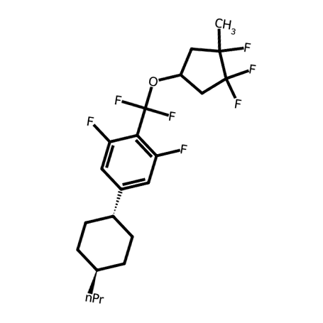 CCC[C@H]1CC[C@H](c2cc(F)c(C(F)(F)OC3CC(C)(F)C(F)(F)C3)c(F)c2)CC1